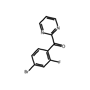 O=C(c1ncccn1)c1ccc(Br)cc1F